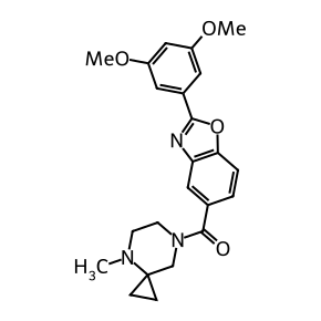 COc1cc(OC)cc(-c2nc3cc(C(=O)N4CCN(C)C5(CC5)C4)ccc3o2)c1